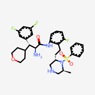 C[C@H]1CNC[C@H](CCc2c(F)cccc2NC(=O)[C@@H](N)[C@@H](c2cc(F)cc(F)c2)C2CCOCC2)N1S(=O)(=O)c1ccccc1